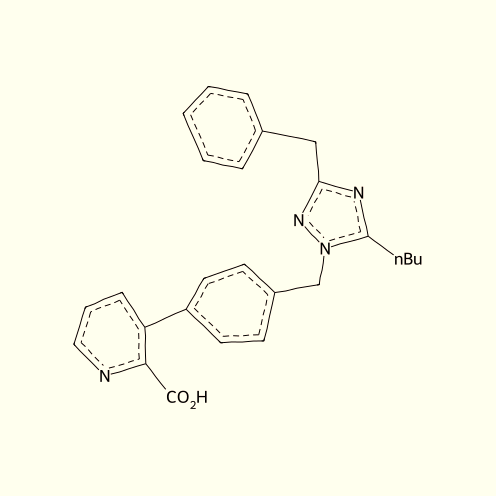 CCCCc1nc(Cc2ccccc2)nn1Cc1ccc(-c2cccnc2C(=O)O)cc1